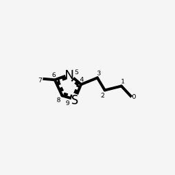 CCCCc1nc(C)cs1